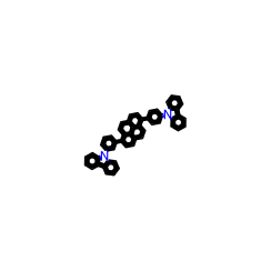 c1cc(-c2ccc3ccc4c(-c5ccc(-n6c7ccccc7c7ccccc76)cc5)ccc5ccc2c3c54)cc(-n2c3ccccc3c3ccccc32)c1